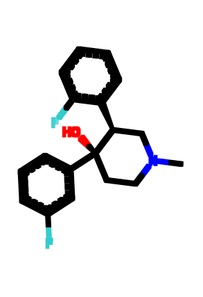 CN1CC[C@](O)(c2cccc(F)c2)[C@@H](c2ccccc2F)C1